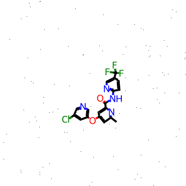 Cc1cc(Oc2cncc(Cl)c2)cc(C(=O)Nc2ccc(C(F)(F)F)cn2)n1